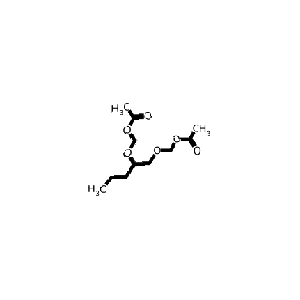 CCCC(COCOC(C)=O)OCOC(C)=O